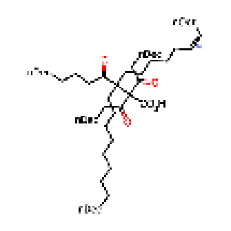 CCCCCCCC/C=C\CCCCCC(CCCCCCCCCCCCCCCCCC)(C(=O)CCCCCCCCCCCCC)C(C(=O)O)(C(=O)CCCCCCCCCCC)C(=O)CCCCCCCCCCC